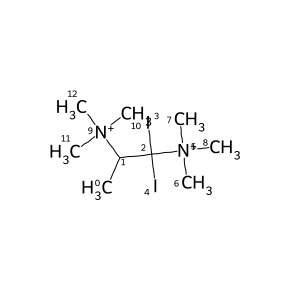 CC(C(I)(I)[N+](C)(C)C)[N+](C)(C)C